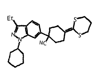 CCc1nn(C2CCCCC2)c2cc(C3(C#N)CCC(=C4SCCCS4)CC3)ccc12